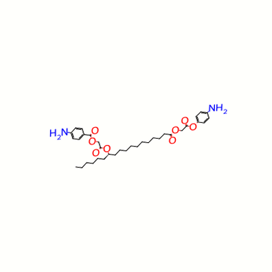 CCCCCC[C@H](CCCCCCCCCCC(=O)OCC(=O)Oc1ccc(N)cc1)OC(=O)COC(=O)c1ccc(N)cc1